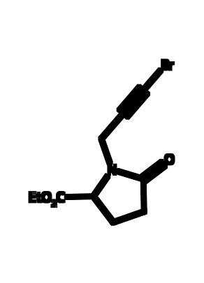 CCOC(=O)C1CCC(=O)N1CC#CBr